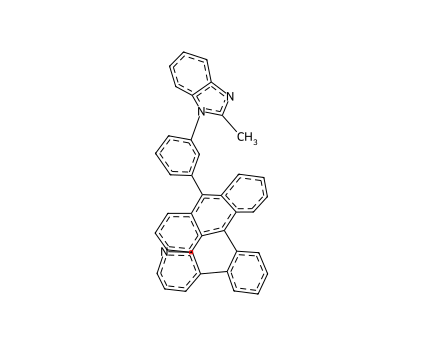 Cc1nc2ccccc2n1-c1cccc(-c2c3ccccc3c(-c3ccccc3-c3cccnc3)c3ccccc23)c1